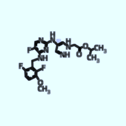 COc1ccc(F)c(CNc2nc(N/C(C=N)=C/NCC(=O)OC(C)C)ncc2F)c1F